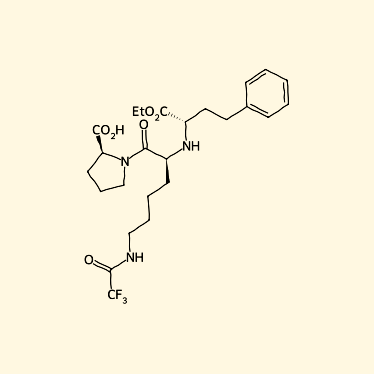 CCOC(=O)[C@H](CCc1ccccc1)N[C@@H](CCCCNC(=O)C(F)(F)F)C(=O)N1CCC[C@H]1C(=O)O